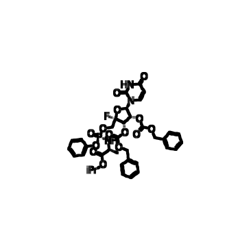 CC(C)OC(=O)[C@H](C)N[P@](=O)(OC[C@@]1(F)O[C@@H](n2ccc(=O)[nH]c2=O)[C@H](OC(=O)OCc2ccccc2)[C@@H]1OC(=O)OCc1ccccc1)Oc1ccccc1